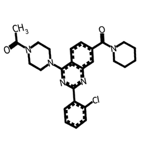 CC(=O)N1CCN(c2nc(-c3ccccc3Cl)nc3cc(C(=O)N4CCCCC4)ccc23)CC1